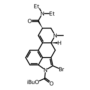 CCN(CC)C(=O)[C@@H]1C=C2c3cccc4c3c(c(Br)n4C(=O)OCC(C)C)C[C@H]2N(C)C1